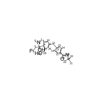 CN(C)C(O)(CCF)c1ccc(Cc2ccc(C3=NC(C)(C)CO3)cc2)cc1CO